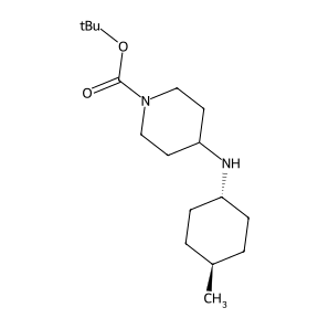 CC(C)(C)OC(=O)N1CCC(N[C@H]2CC[C@H](C)CC2)CC1